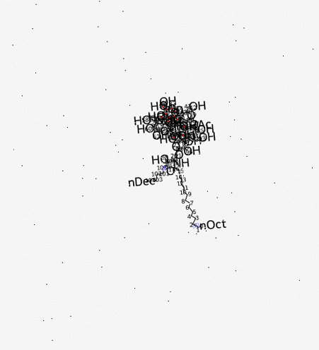 CCCCCCCC/C=C\CCCCCCCCCCCCCC(=O)N[C@@H](CO[C@@H]1OC(CO)[C@@H](O[C@@H]2OC(CO)[C@H](O)[C@H](O[C@@H]3OC(CO)[C@@H](O[C@@H]4OC(CO)[C@H](O)[C@H](O[C@H]5OC(CO)[C@H](O)[C@H](O)C5O)C4O[C@H]4OC(C)[C@@H](O)C(O)[C@@H]4O)[C@H](O[C@H]4OC(C)[C@@H](O)C(O)[C@@H]4O)C3NC(C)=O)C2O)[C@H](O)C1O)[C@H](O)/C=C/CCCCCCCCCCCCC